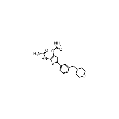 NC(=O)Nc1sc(-c2cccc(CN3CCOCC3)c2)cc1OC(N)=O